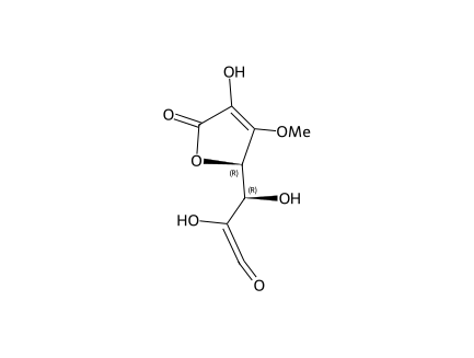 COC1=C(O)C(=O)O[C@@H]1[C@@H](O)C(O)=C=O